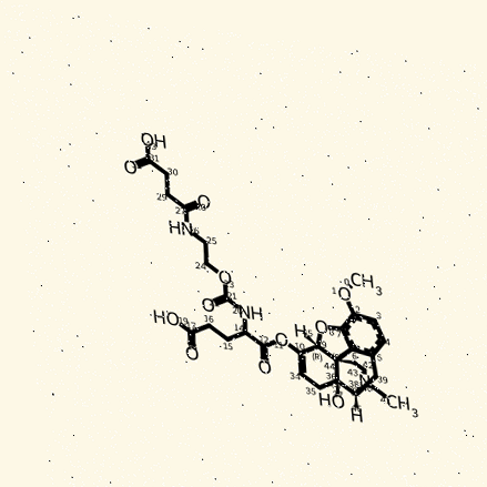 COc1ccc2c3c1O[C@H]1C(OC(=O)C(CCC(=O)O)NC(=O)OCCNC(=O)CCC(=O)O)=CC[C@@]4(O)[C@@H](C2)N(C)CC[C@]314